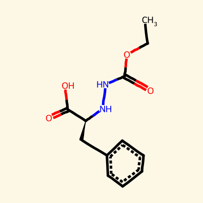 CCOC(=O)NN[C@@H](Cc1ccccc1)C(=O)O